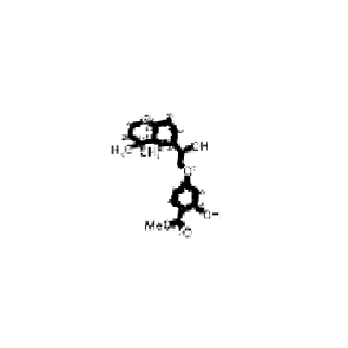 COC(=O)c1ccc(OCC(O)c2ccc3c(c2)C(C)(C)CCS3)cc1O